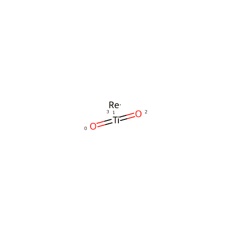 [O]=[Ti]=[O].[Re]